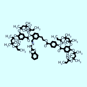 C=CC(=O)OC(C)(C)CC(C)(C)Oc1ccc(C(=O)Oc2ccc(C(=O)OCCc3ccc(OC(=O)c4ccc(OC(C)(C)CC(C)(C)OC(=O)C=C)c(OC(C)(C)CC(C)(C)OC(=O)C=C)c4)c(/C=N/Nc4nc5ccccc5s4)c3)cc2)cc1OC(C)(C)CC(C)(C)OC(=O)C=C